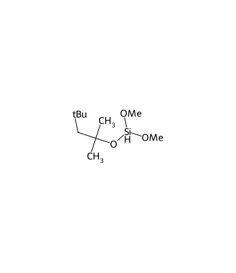 CO[SiH](OC)OC(C)(C)CC(C)(C)C